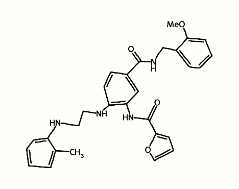 COc1ccccc1CNC(=O)c1ccc(NCCNc2ccccc2C)c(NC(=O)c2ccco2)c1